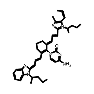 C/C=C\c1c(C)sc(/C=C/C=C2\CCCC(/C=C/C=C3\Sc4ccccc4N3C(C)CCC)=C2n2ccc(N)nc2=O)[n+]1C(C)CCC